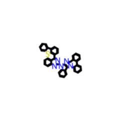 c1ccc2c(-c3cccc4c3sc3ccccc34)nc(-n3c4ccccc4c4c3nc3c5ccccc5c5ccccc5n34)nc2c1